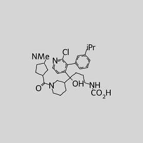 CNC1CCC(C(=O)N2CCCC(C(O)(CCCNC(=O)O)c3ccnc(Cl)c3-c3cccc(C(C)C)c3)C2)C1